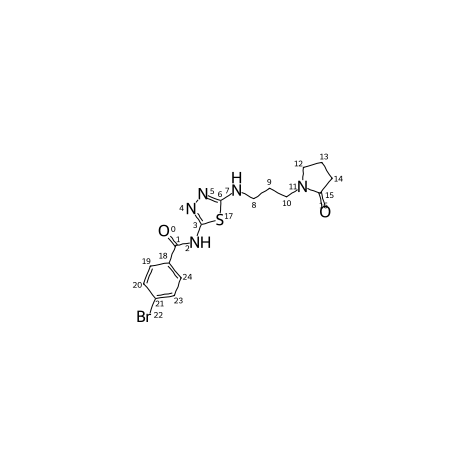 O=C(Nc1nnc(NCCCN2CCCC2=O)s1)c1ccc(Br)cc1